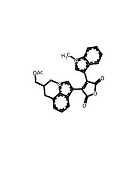 CC(=O)OCC1Cc2cccc3c(C4=C(c5cn(C)c6ccccc56)C(=O)OC4=O)cn(c23)C1